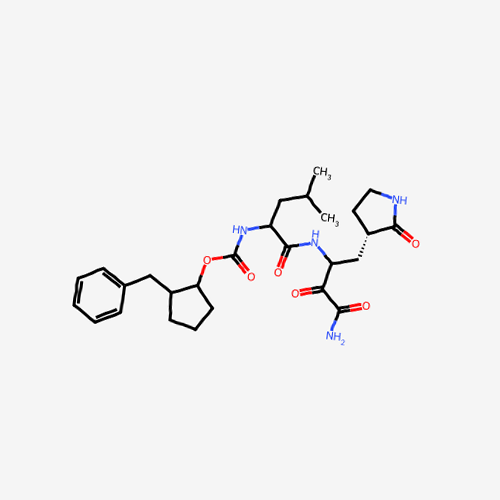 CC(C)CC(NC(=O)OC1CCCC1Cc1ccccc1)C(=O)NC(C[C@@H]1CCNC1=O)C(=O)C(N)=O